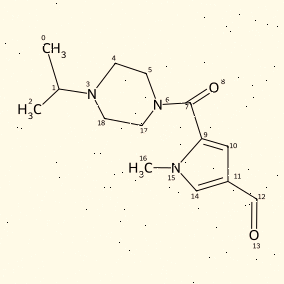 CC(C)N1CCN(C(=O)c2cc(C=O)cn2C)CC1